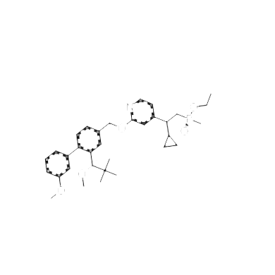 CCOP(C)(=O)CC(c1ccnc(OCc2ccc(-c3cccc(OC)c3)c([C@@H](OC)C(C)(C)C)c2)c1)C1CC1